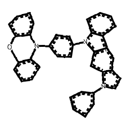 c1ccc(-n2ccc3cc4c5ccccc5n(-c5ccc(N6c7ccccc7Oc7ccccc76)cc5)c4cc32)cc1